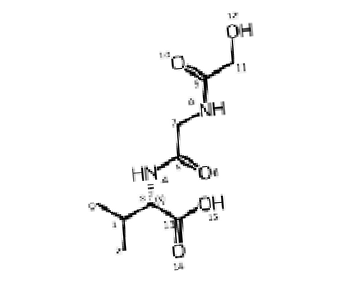 CC(C)[C@H](NC(=O)CNC(=O)CO)C(=O)O